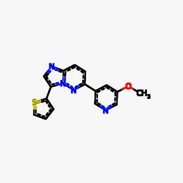 COc1cncc(-c2ccc3ncc(-c4cccs4)n3n2)c1